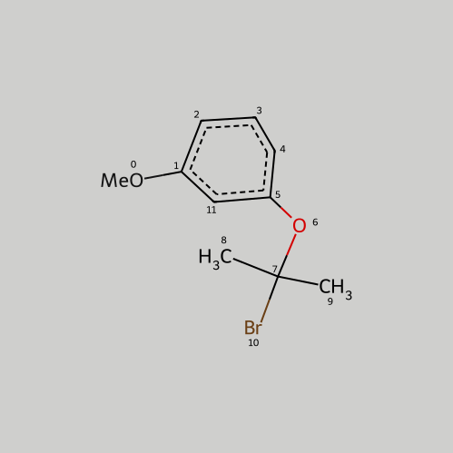 COc1cccc(OC(C)(C)Br)c1